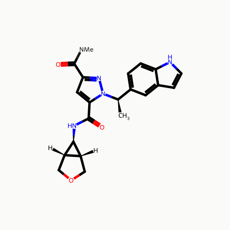 CNC(=O)c1cc(C(=O)N[C@H]2[C@@H]3COC[C@@H]32)n([C@H](C)c2ccc3[nH]ccc3c2)n1